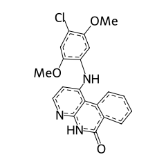 COc1cc(Nc2ccnc3[nH]c(=O)c4ccccc4c23)c(OC)cc1Cl